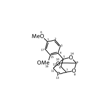 COc1ccc(C23CC4OC(CC(O2)[P]4)O3)c(OC)c1